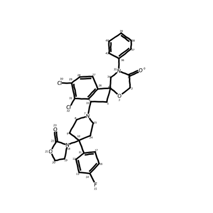 O=C1COC(CCN2CCC(c3ccc(F)cc3)(N3CCOC3=O)CC2)(c2ccc(Cl)c(Cl)c2)CN1c1ccccc1